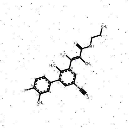 CCCNC(=O)/C(C)=C(\C)c1cc(C#N)cc(-c2ccc(F)c(C)c2)c1C